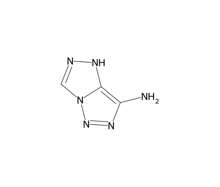 Nc1nnn2cn[nH]c12